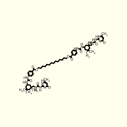 Cc1cc(=O)nc(NC(=O)NCC2(C)CC(NC(=O)Nc3ccc(C(=O)OCCCCCCCCCCCCCCOC(=O)c4ccc(NC(=O)NC5CC(C)(C)CC(C)(CNC(=O)Nc6nc(=O)cc(C)[nH]6)C5)cc4)cc3)CC(C)(C)C2)[nH]1